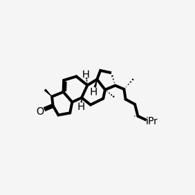 CC(C)[CH]CC[C@@H](C)[C@H]1CC[C@H]2[C@@H]3CC=C4C(CCC(=O)[C@H]4C)[C@@H]3CC[C@]12C